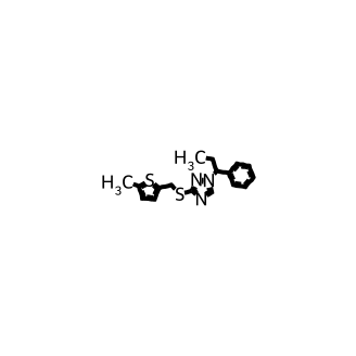 CCC(c1ccccc1)n1cnc(SCc2ccc(C)s2)n1